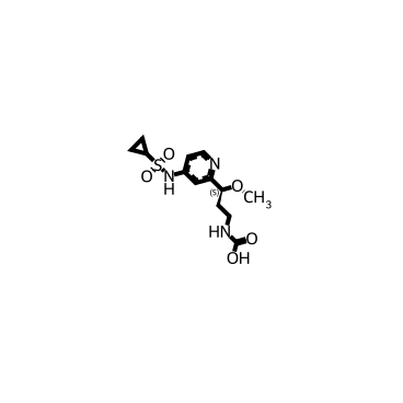 CO[C@@H](CCNC(=O)O)c1cc(NS(=O)(=O)C2CC2)ccn1